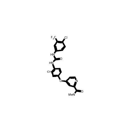 C.CNC(=O)c1cc(Oc2ccc(NC(=O)Nc3ccc(Cl)c(C(F)(F)F)c3)cc2)ccn1